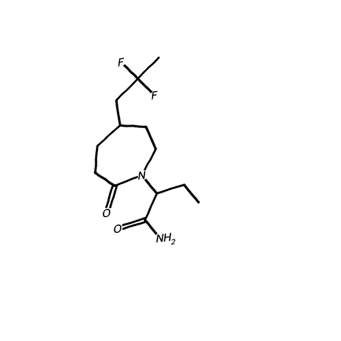 CCC(C(N)=O)N1CCC(CC(C)(F)F)CCC1=O